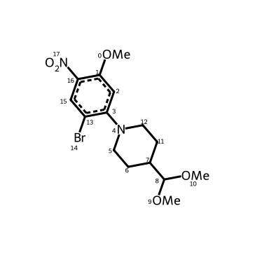 COc1cc(N2CCC(C(OC)OC)CC2)c(Br)cc1[N+](=O)[O-]